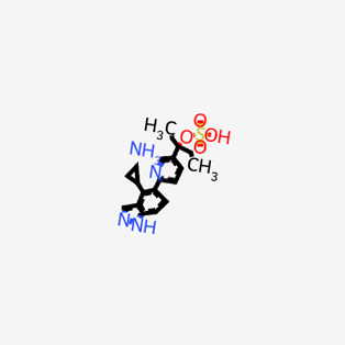 CCC(CC)(OS(=O)(=O)O)c1ccc(-c2ccc3[nH]ncc3c2C2CC2)nc1.N